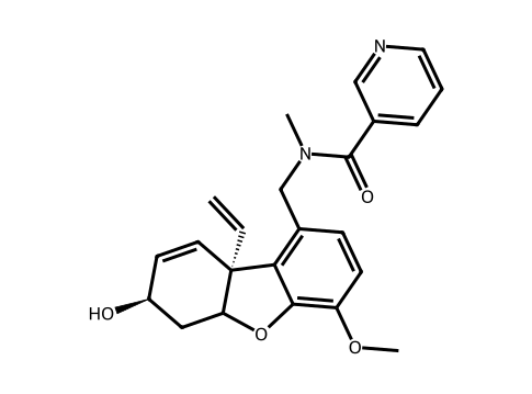 C=C[C@@]12C=C[C@H](O)CC1Oc1c(OC)ccc(CN(C)C(=O)c3cccnc3)c12